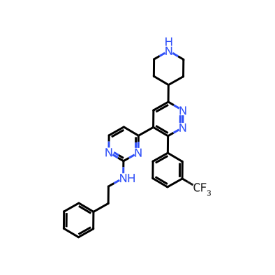 FC(F)(F)c1cccc(-c2nnc(C3CCNCC3)cc2-c2ccnc(NCCc3ccccc3)n2)c1